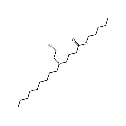 CCCCCCCCCN(CCO)CCCC(=O)OCCCCC